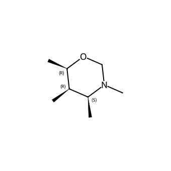 C[C@H]1[C@@H](C)OCN(C)[C@H]1C